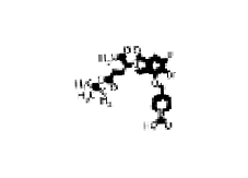 CC(C)(C)OC(=O)CC[C@@H](C(N)=O)N1Cc2c(cc(F)c(Br)c2OCC2=CCN(C(=O)O)CC2)C1=O